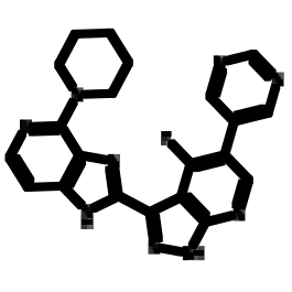 Fc1c(-c2cncnc2)cnc2[nH]nc(-c3nc4c(N5CCCCC5)nccc4[nH]3)c12